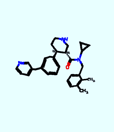 Cc1cccc(CN(C(=O)[C@H]2CNCC[C@@H]2c2cccc(-c3cccnc3)c2)C2CC2)c1C